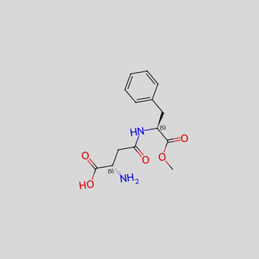 COC(=O)[C@H](Cc1ccccc1)NC(=O)C[C@H](N)C(=O)O